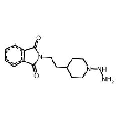 NNN1CCC(CCN2C(=O)c3ccccc3C2=O)CC1